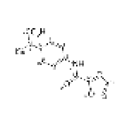 O=C(Nc1ccc(N(S)C(=O)O)cc1)c1ccco1